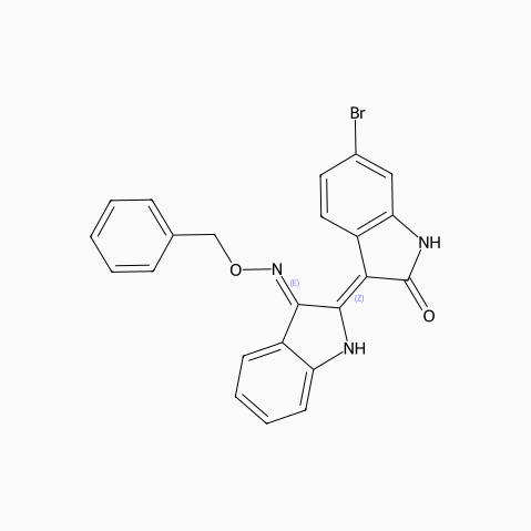 O=C1Nc2cc(Br)ccc2/C1=C1/Nc2ccccc2/C1=N\OCc1ccccc1